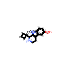 O=C(O)C1(C2NCCc3c2[nH]c2ccc(O)cc32)CCC1